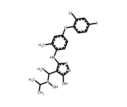 Cc1cc(Oc2ccc(F)cc2Cl)ccc1Nc1snc(O)c1C(N)N(O)C(C)C